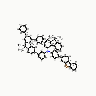 CC1(C)c2ccc(-c3cccc(N(c4ccc(-c5ccc6c(c5)sc5ccccc56)cc4)c4cccc5c4-c4ccccc4C5(C)C)c3)cc2-c2c(-c3ccccc3)cc(-c3ccccc3)cc21